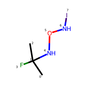 CC(C)(F)NONI